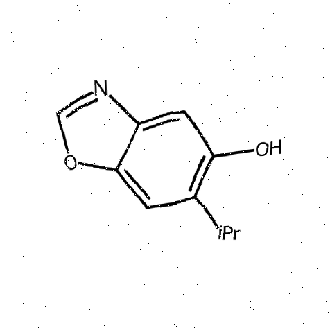 CC(C)c1cc2ocnc2cc1O